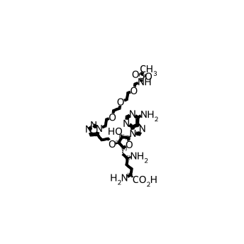 CS(=O)(=O)NCOCCOCCOCCn1nncc1CCO[C@H]1[C@@H](O)[C@H](n2cnc3c(N)ncnc32)O[C@@H]1C[C@@H](N)CC[C@H](N)C(=O)O